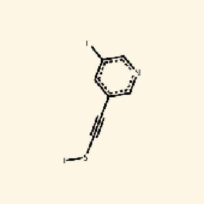 Fc1cncc(C#CSI)c1